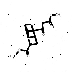 COC(=O)CC(=O)C12C3C4C1C1C2C3C41C(=O)OC